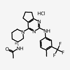 CC(=O)N[C@@H]1CCCN(c2nc(Nc3ccc(C)c(C(F)(F)F)c3)nc3c2CCC3)C1.Cl